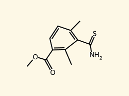 COC(=O)c1ccc(C)c(C(N)=S)c1C